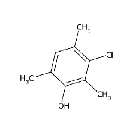 Cc1cc(C)c(Cl)c(C)c1O